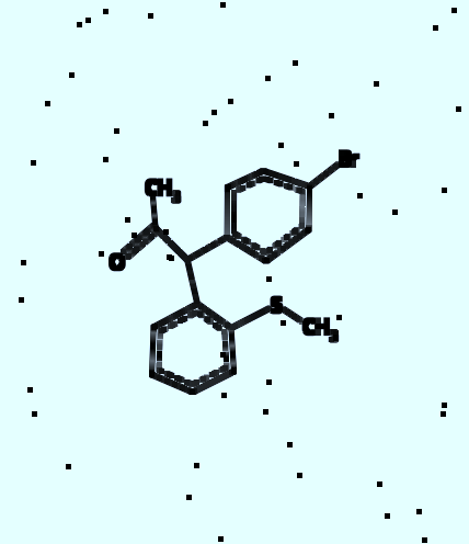 CSc1ccccc1C(C(C)=O)c1ccc(Br)cc1